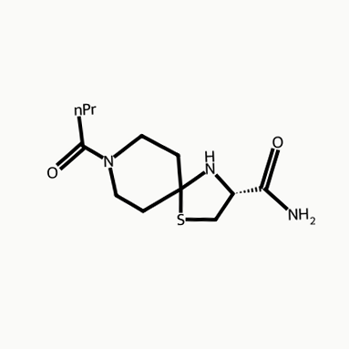 CCCC(=O)N1CCC2(CC1)N[C@H](C(N)=O)CS2